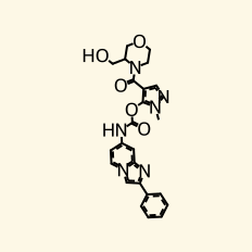 Cn1ncc(C(=O)N2CCOCC2CO)c1OC(=O)Nc1ccn2cc(-c3ccccc3)nc2c1